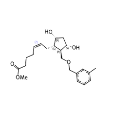 COC(=O)CCC/C=C\C[C@H]1[C@H](COCc2cccc(C)c2)[C@@H](O)C[C@H]1O